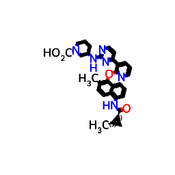 Cc1ccc2c(NC(=O)[C@H]3C[C@@H]3C)cccc2c1Oc1ncccc1-c1ccnc(NC2CCCN(C(=O)O)C2)n1